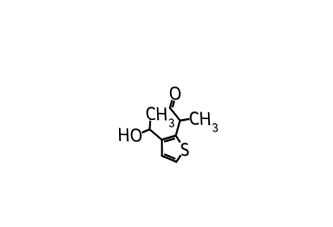 CC(O)c1ccsc1C(C)C=O